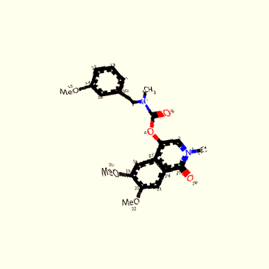 CCn1cc(OC(=O)N(C)Cc2cccc(OC)c2)c2cc(OC)c(OC)cc2c1=O